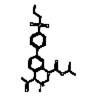 CCCS(=O)(=O)c1ccc(-c2ccc3c(c2)N(C(=O)OC(C)C)C[C@H](C)N3C(C)=O)cc1